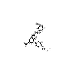 CCOC(=O)CN1CCN(c2cc(C3CC3)cn3cc(CNc4ccnc(Br)c4)nc23)CC1